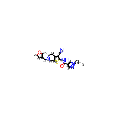 Cn1cc(C(=O)Nc2sc3c(c2C#N)CCN(Cc2ccoc2)C3)cn1